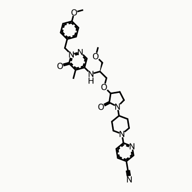 COC[C@@H](COC1CCN(C2CCN(c3ccc(C#N)cn3)CC2)C1=O)Nc1cnn(Cc2ccc(OC)cc2)c(=O)c1C